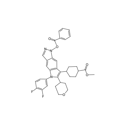 COC(=O)C1CCC(c2c(C3CCOCC3)n(-c3ccc(F)c(F)c3)c3cc4cnn(OC(=O)c5ccccc5)c4cc23)CC1